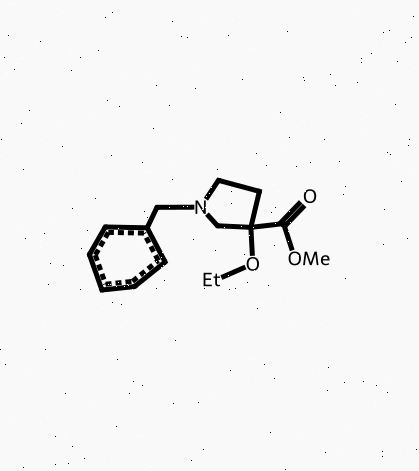 CCOC1(C(=O)OC)CCN(Cc2ccccc2)C1